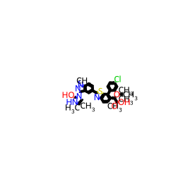 Cc1cc2nc(-c3ccc4c(c3)c(N3CC(C)(C)NC3O)nn4C)sc2c(-c2ccc(Cl)cc2)c1[C@H](OC(C)(C)C)C(=O)O